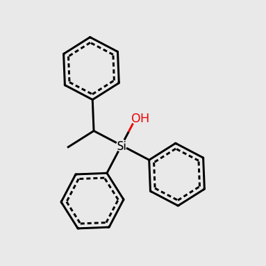 CC(c1ccccc1)[Si](O)(c1ccccc1)c1ccccc1